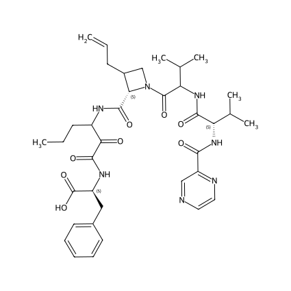 C=CCC1CN(C(=O)C(NC(=O)[C@@H](NC(=O)c2cnccn2)C(C)C)C(C)C)[C@@H]1C(=O)NC(CCC)C(=O)C(=O)N[C@@H](Cc1ccccc1)C(=O)O